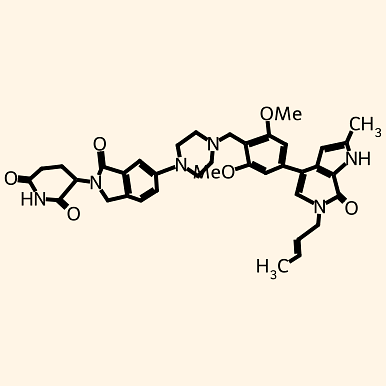 C/C=C/Cn1cc(-c2cc(OC)c(CN3CCN(c4ccc5c(c4)C(=O)N(C4CCC(=O)NC4=O)C5)CC3)c(OC)c2)c2cc(C)[nH]c2c1=O